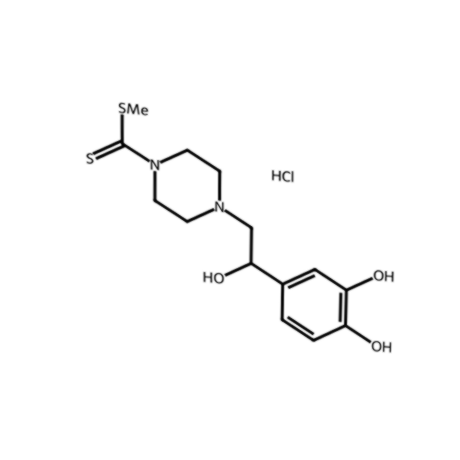 CSC(=S)N1CCN(CC(O)c2ccc(O)c(O)c2)CC1.Cl